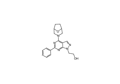 OCCn1ncc2c(N3CC4CCC(C3)O4)nc(-c3cc[c]cc3)nc21